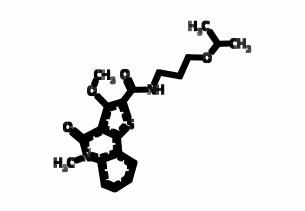 COc1c(C(=O)NCCCOC(C)C)sc2c1c(=O)n(C)c1ccccc21